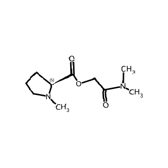 CN(C)C(=O)COC(=O)[C@@H]1CCCN1C